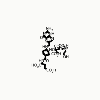 C[N+](C)(C)CCO.Nc1nc(=O)c2nc(CNc3ccc(C(=O)N[C@@H](CCC(=O)O)C(=O)O)cc3)cnc2[nH]1.O=C(O)CC(O)(CC(=O)O)C(=O)[O-]